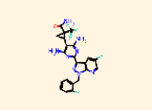 NC(=O)C1(C(F)(F)F)CC1c1c(N)nc(-c2nn(Cc3ccccc3F)c3ncc(F)cc23)nc1N